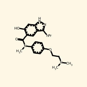 CCCc1n[nH]c2cc(O)c(C(=O)N(C)c3ccc(OCCN(C)C)cc3)cc12